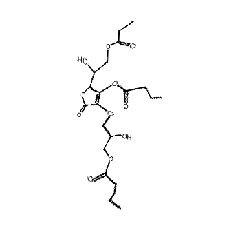 CCCC(=O)OCC(O)COC1=C(OC(=O)CCC)C(C(O)COC(=O)CC)OC1=O